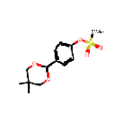 COS(=O)(=O)Oc1ccc(C2OCC(C)(C)CO2)cc1